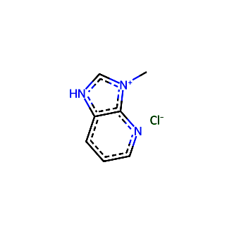 C[n+]1c[nH]c2cccnc21.[Cl-]